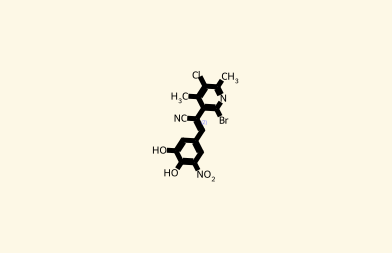 Cc1nc(Br)c(/C(C#N)=C/c2cc(O)c(O)c([N+](=O)[O-])c2)c(C)c1Cl